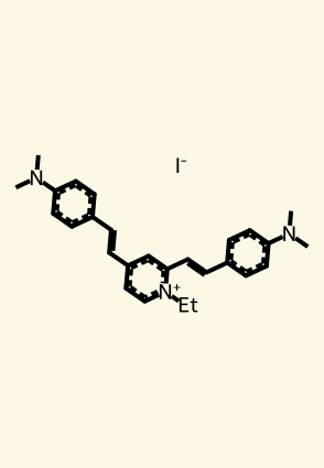 CC[n+]1ccc(C=Cc2ccc(N(C)C)cc2)cc1C=Cc1ccc(N(C)C)cc1.[I-]